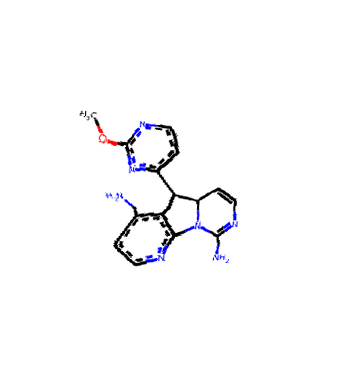 COc1nccc(C2c3c(N)ccnc3N3C(N)=NC=CC23)n1